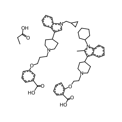 CCC(=O)O.Cc1c(C2CCN(CCOc3ccccc3C(=O)O)CC2)c2ccccc2n1C1CCCCC1.O=C(O)c1cccc(OCCCN2CCC(c3cn(CC4CC4)c4ccccc34)CC2)c1